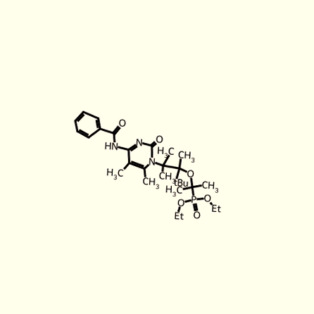 CCOP(=O)(OCC)C(C)(C)OC(C)(C(C)(C)C)C(C)(C)n1c(C)c(C)c(NC(=O)c2ccccc2)nc1=O